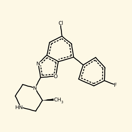 C[C@H]1CNCCN1c1nc2cc(Cl)cc(-c3ccc(F)cc3)c2o1